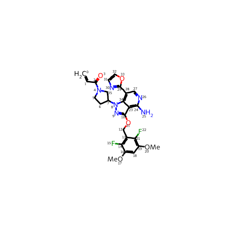 C=CC(=O)N1CCC(n2nc(OCc3c(F)c(OC)cc(OC)c3F)c3c(N)ncc(-c4ncco4)c32)C1